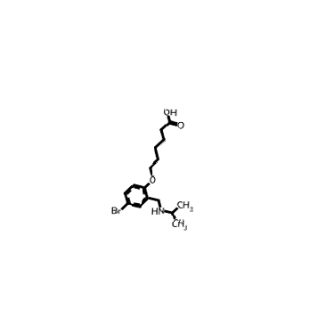 CC(C)NCc1cc(Br)ccc1OCCCCCC(=O)O